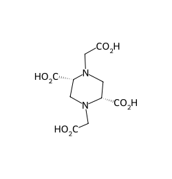 O=C(O)CN1C[C@H](C(=O)O)N(CC(=O)O)C[C@@H]1C(=O)O